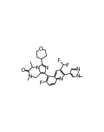 CC1C(=O)N(C)Cc2c(-c3c(F)ccc4nc(-c5cnn(C)c5)c(C(F)F)cc34)nc(C3CCOCC3)n21